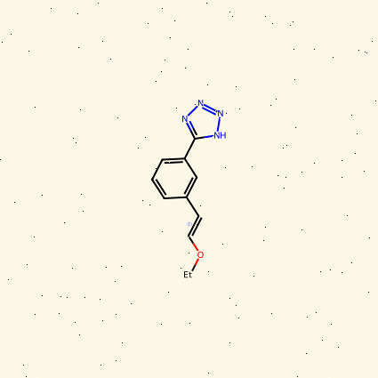 CCO/C=C/c1cccc(-c2nnn[nH]2)c1